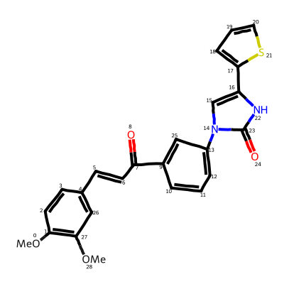 COc1ccc(C=CC(=O)c2cccc(-n3cc(-c4cccs4)[nH]c3=O)c2)cc1OC